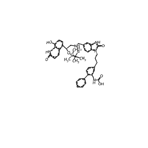 CC(C)(C)[Si](C)(C)O[C@H](CNCc1ccc2c(c1)[nH]c(=O)n2CCCc1ccc(-c2ccccc2)c(NC(=O)O)c1)c1ccc(O)c2[nH]c(=O)ccc12